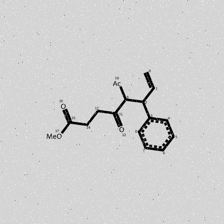 C=CC(c1ccccc1)C(C(C)=O)C(=O)CCC(=O)OC